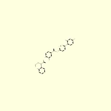 O=C(Nc1ccc(-c2ccc(F)cc2F)nn1)c1ccc(OC(=O)C2CCOc3ccccc32)c(Cl)c1